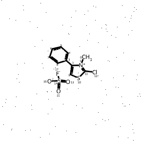 C[n+]1c(-c2ccccc2)csc1Cl.O=S(=O)([O-])F